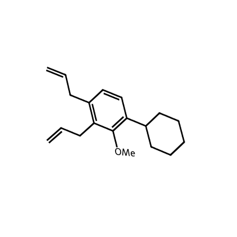 C=CCc1ccc(C2CCCCC2)c(OC)c1CC=C